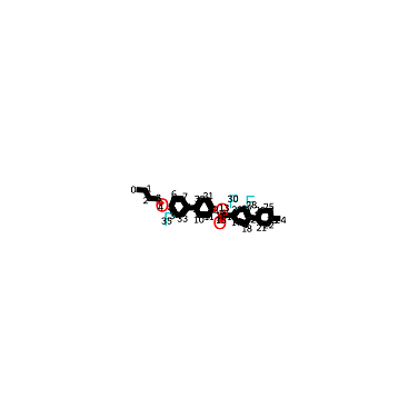 CCCCOc1ccc(-c2ccc(OC(=O)c3ccc(C4CCC(C)CC4)c(F)c3F)cc2)cc1F